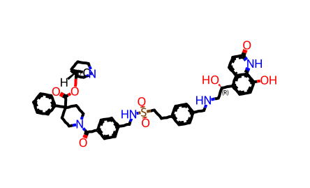 O=C(c1ccc(CNS(=O)(=O)CCc2ccc(CNC[C@H](O)c3ccc(O)c4[nH]c(=O)ccc34)cc2)cc1)N1CCC(C(=O)O[C@H]2CN3CCC2CC3)(c2ccccc2)CC1